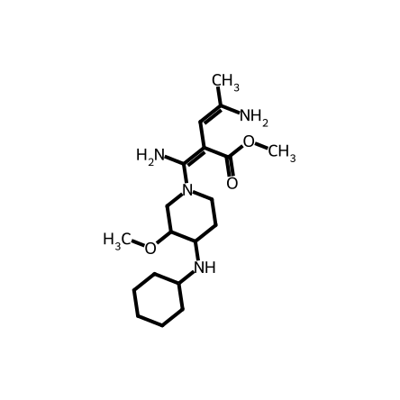 COC(=O)C(/C=C(/C)N)=C(/N)N1CCC(NC2CCCCC2)C(OC)C1